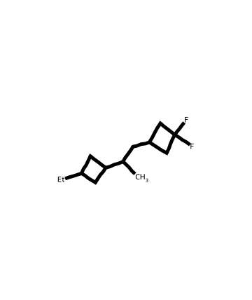 CCC1CC(C(C)CC2CC(F)(F)C2)C1